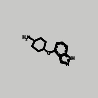 N[C@H]1CC[C@@H](Oc2cccc3[nH]ncc23)CC1